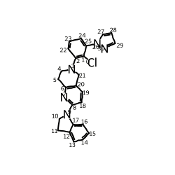 Clc1c(N2CCc3nc(N4CCc5ccccc54)ccc3C2)cccc1-n1cccn1